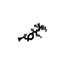 CC1(CNC2CC2)CCN(C(=O)/C(N)=C/C=C(N)N)CC1